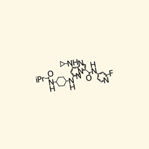 CC(C)C(=O)NC1CCC(Nc2cc(NC3CC3)c3ncc(C(=O)Nc4ccnc(F)c4)n3n2)CC1